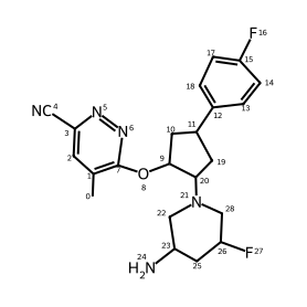 Cc1cc(C#N)nnc1OC1CC(c2ccc(F)cc2)CC1N1CC(N)CC(F)C1